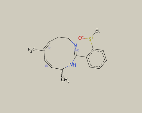 C=C1/C=C\C(C(F)(F)F)=C/CC/N=C(/c2ccccc2[S+]([O-])CC)N1